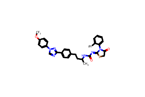 CC(CCc1ccc(-c2ncn(-c3ccc(OC(F)(F)F)cc3)n2)cc1)NC(=O)/N=C1\SCC(=O)N1c1ccccc1C(C)C